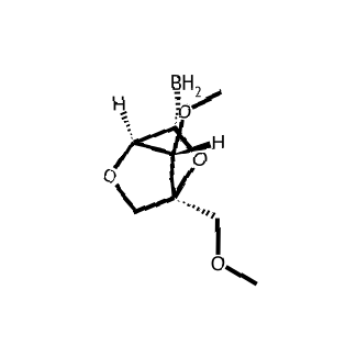 B[C@@H]1O[C@@]2(COC)CO[C@@H]1[C@@H]2OC